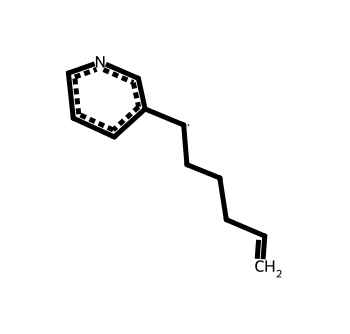 C=CCCC[CH]c1cccnc1